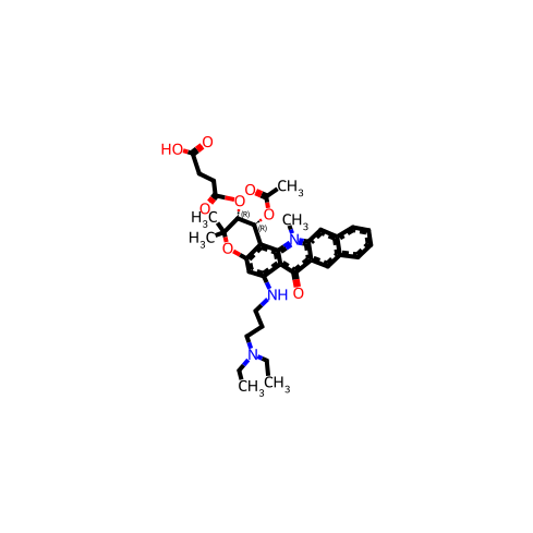 CCN(CC)CCCNc1cc2c(c3c1c(=O)c1cc4ccccc4cc1n3C)[C@@H](OC(C)=O)[C@@H](OC(=O)CCC(=O)O)C(C)(C)O2